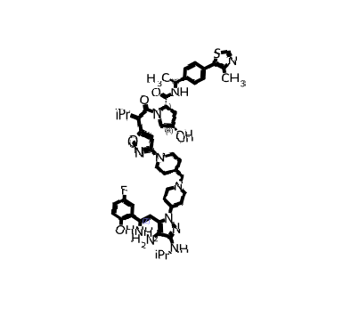 Cc1ncsc1-c1ccc([C@H](C)NC(=O)[C@@H]2C[C@@H](O)CN2C(=O)C(c2cc(N3CCC(CN4CCC(n5nc(NC(C)C)c(N)c5/C=C(\N)c5cc(F)ccc5O)CC4)CC3)no2)C(C)C)cc1